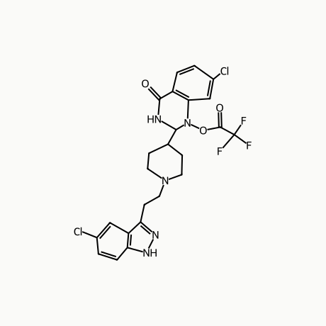 O=C1NC(C2CCN(CCc3n[nH]c4ccc(Cl)cc34)CC2)N(OC(=O)C(F)(F)F)c2cc(Cl)ccc21